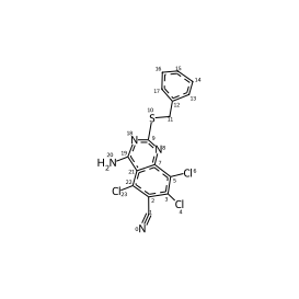 N#Cc1c(Cl)c(Cl)c2nc(SCc3ccccc3)nc(N)c2c1Cl